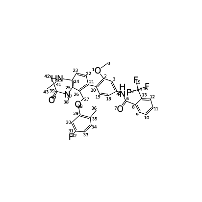 COc1cc(NC(=O)c2ccccc2C(F)(F)F)ccc1-c1ccc2c(c1COc1cc(F)ccc1C)N(C)C(=O)C(C)(C)N2